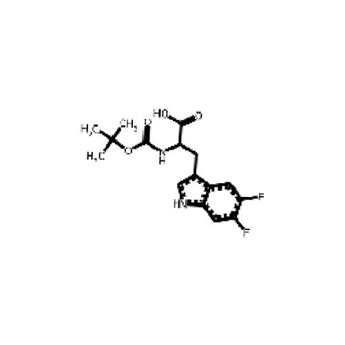 CC(C)(C)OC(=O)NC(Cc1c[nH]c2cc(F)c(F)cc12)C(=O)O